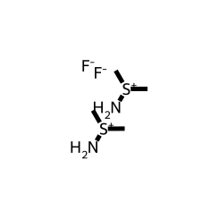 C[S+](C)N.C[S+](C)N.[F-].[F-]